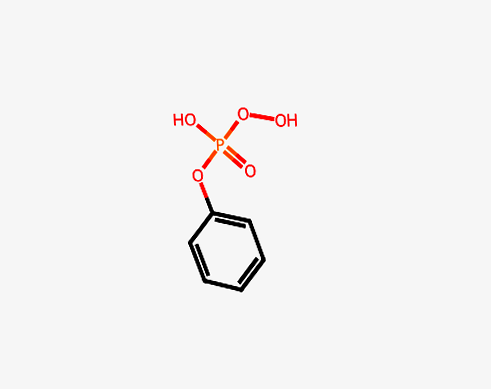 O=P(O)(OO)Oc1ccccc1